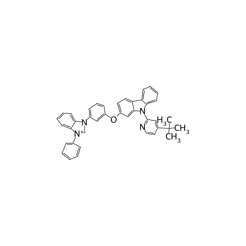 CC(C)(C)c1ccnc(-n2c3ccccc3c3ccc(Oc4cccc(-n5c[n+](-c6ccccc6)c6ccccc65)c4)cc32)c1